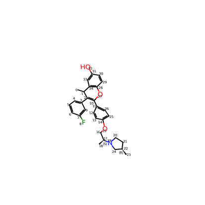 CC1C(c2cccc(F)c2)=C(c2ccc(OC[C@H](C)N3CC[C@@H](C)C3)cc2)Oc2ccc(O)cc21